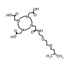 CC(C)CCOCCOCCNC(=O)CN1CCN(CC(=O)O)CCN(CC(=O)O)CCN(CC(=O)O)CC1